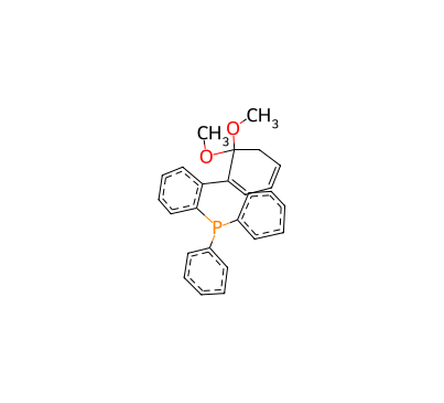 COC1(OC)CC=CC=C1c1ccccc1P(c1ccccc1)c1ccccc1